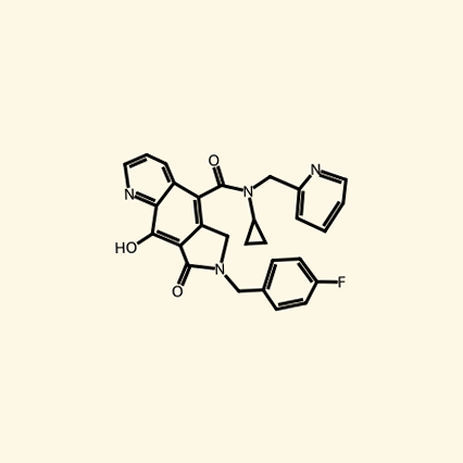 O=C1c2c(c(C(=O)N(Cc3ccccn3)C3CC3)c3cccnc3c2O)CN1Cc1ccc(F)cc1